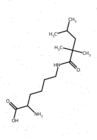 CC(C)CC(C)(C)C(=O)NCCCCC(N)C(=O)O